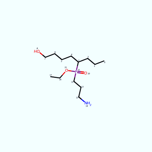 CCCC(CCCCO)P(=O)(CCCN)OCC